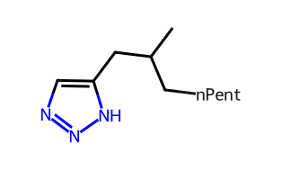 CCCCCCC(C)Cc1cnn[nH]1